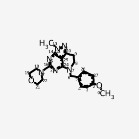 COc1ccc(CN2CCc3nn(C)c4nc(N5CCOCC5)nc2c34)cc1